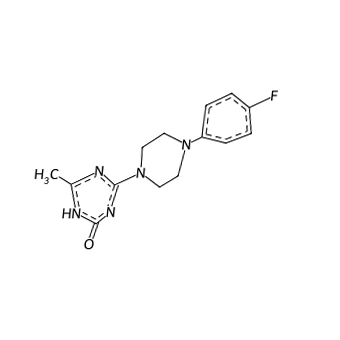 Cc1nc(N2CCN(c3ccc(F)cc3)CC2)nc(=O)[nH]1